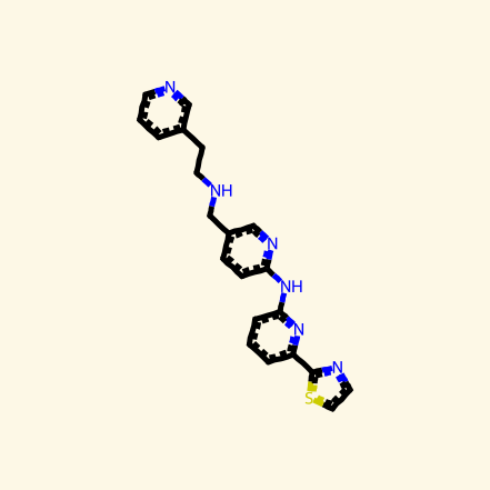 c1cncc(CCNCc2ccc(Nc3cccc(-c4nccs4)n3)nc2)c1